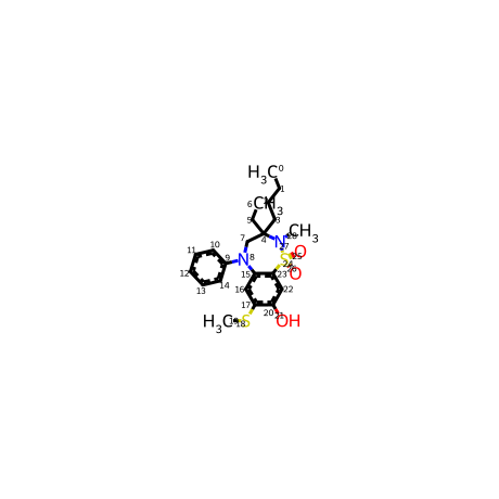 CCCCC1(CC)CN(c2ccccc2)c2cc(SC)c(O)cc2S(=O)(=O)N1C